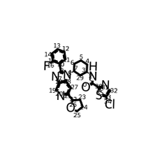 O=C(N[C@H]1CCC[C@@H](n2c(-c3ccccc3F)nc3cnc(C4CCCO4)cc32)C1)c1ncc(Cl)s1